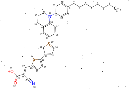 CCCCCCCCc1ccc(N2CCCc3cc(S4=CC=C(c5ccc(/C=C(\C#N)C(=O)O)s5)C4)ccc32)cc1